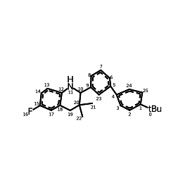 CC(C)(C)c1ccc(-c2cccc(C3Nc4ccc(F)cc4CC3(C)C)c2)cc1